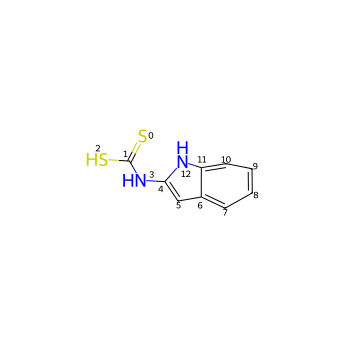 S=C(S)Nc1cc2ccccc2[nH]1